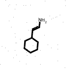 N/C=C/C1CCCCC1